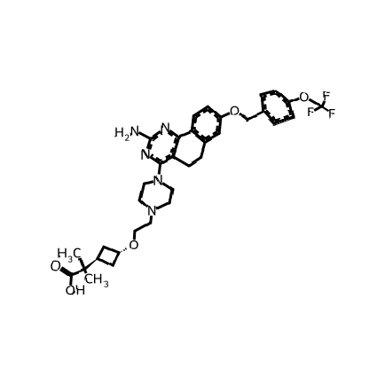 CC(C)(C(=O)O)[C@H]1C[C@H](OCCN2CCN(c3nc(N)nc4c3CCc3cc(OCc5ccc(OC(F)(F)F)cc5)ccc3-4)CC2)C1